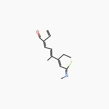 C=C\C(C=O)=C/C=C(C)/C(=C/C(F)=N\C)CC